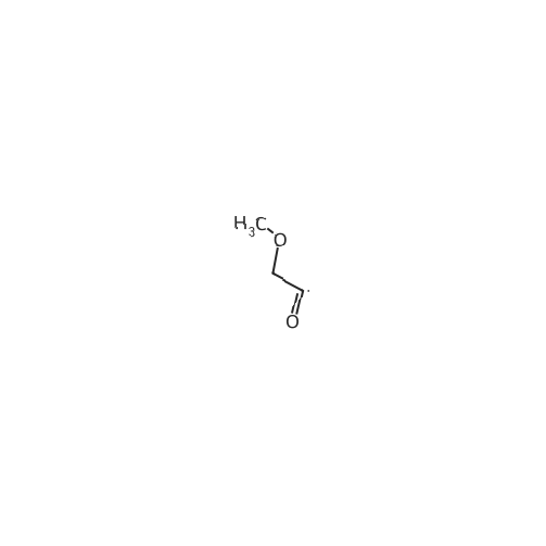 COC[C]=O